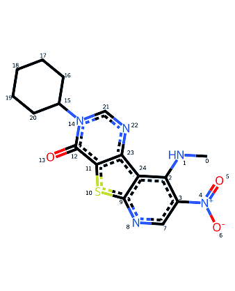 CNc1c([N+](=O)[O-])cnc2sc3c(=O)n(C4CCCCC4)cnc3c12